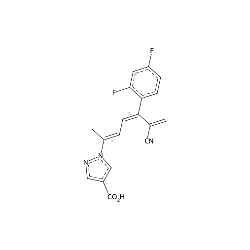 C=C(C#N)/C(=C\C=C(/C)n1cc(C(=O)O)cn1)c1ccc(F)cc1F